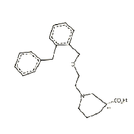 CCOC(=O)[C@@H]1CCCN(CCOCc2ccccc2Cc2ccccc2)C1